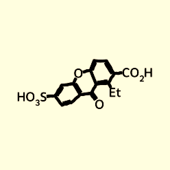 CCc1c(C(=O)O)ccc2oc3cc(S(=O)(=O)O)ccc3c(=O)c12